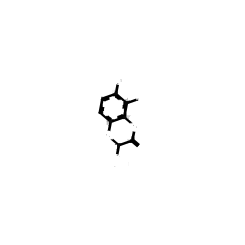 CC1Nc2ccc(Br)c(F)c2NC1=O